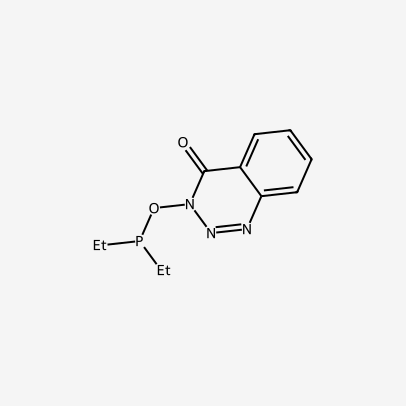 CCP(CC)On1nnc2ccccc2c1=O